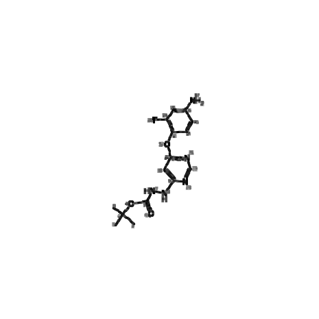 CC(C)(C)OC(=O)NNc1cc(Oc2ccc(N)cc2F)ncn1